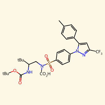 Cc1ccc(-c2cc(C(F)(F)F)nn2-c2ccc(S(=O)(=O)N(CC(NC(=O)OC(C)(C)C)C(C)(C)C)C(=O)O)cc2)cc1